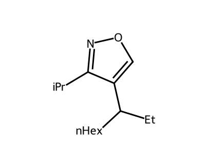 CCCCCCC(CC)c1conc1C(C)C